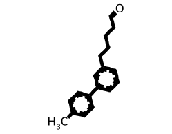 Cc1ccc(-c2cccc(CCCCC=O)c2)cc1